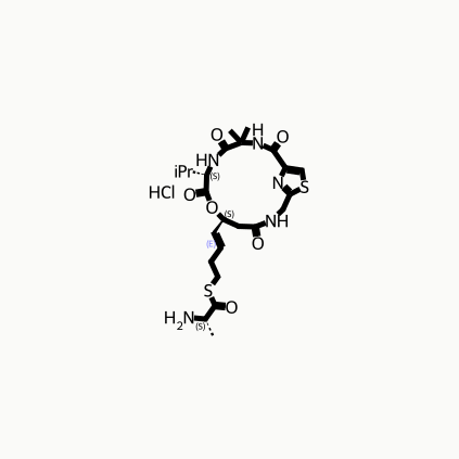 CC(C)[C@@H]1NC(=O)C(C)(C)NC(=O)c2csc(n2)CNC(=O)C[C@@H](/C=C/CCSC(=O)[C@H](C)N)OC1=O.Cl